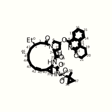 CC[C@H]1CC(=O)N2C[C@H](Oc3nc4c(c5ccccc35)CCCO4)C[C@H]2C(=O)N[C@]2(C(=O)NS(=O)(=O)C3(C)CC3)CC2/C=C\CC[C@H](C)C1